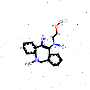 CN1Cc2ccccc2/C(N(N)CCOC=O)=C(/N)c2ccccc21